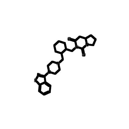 O=C1CC2CCCN2C(=O)N1CC1CCCCC1CN1CCN(c2nsc3ccccc23)CC1